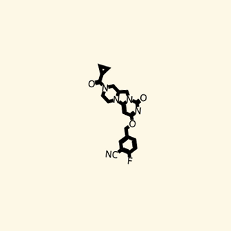 N#Cc1cc(COc2cc3n(c(=O)n2)CC2CN(C(=O)C4CC4)CCN32)ccc1F